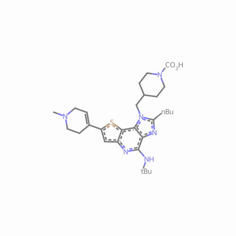 CCCCc1nc2c(NC(C)(C)C)nc3cc(C4=CCN(C)CC4)sc3c2n1CC1CCN(C(=O)O)CC1